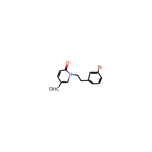 O=Cc1ccc(=O)n(CCc2cccc(Br)c2)c1